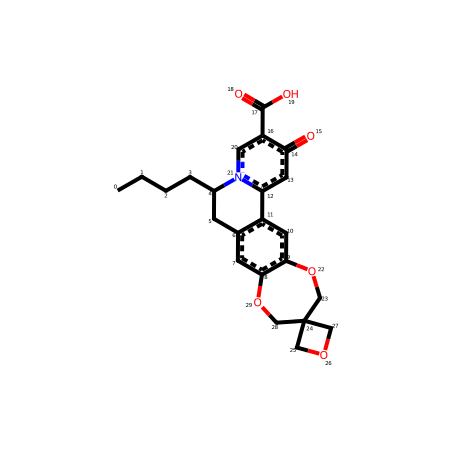 CCCCC1Cc2cc3c(cc2-c2cc(=O)c(C(=O)O)cn21)OCC1(COC1)CO3